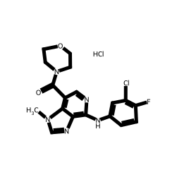 Cl.Cn1cnc2c(Nc3ccc(F)c(Cl)c3)ncc(C(=O)N3CCOCC3)c21